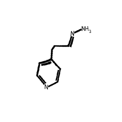 NN=CCc1ccncc1